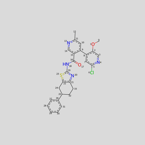 COc1cnc(Cl)cc1-c1cc(C)ncc1C(=O)Nc1nc2c(s1)CC(c1ccccc1)CC2